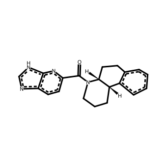 O=C(c1ccc2nc[nH]c2n1)N1CCC[C@H]2c3ccccc3CC[C@H]21